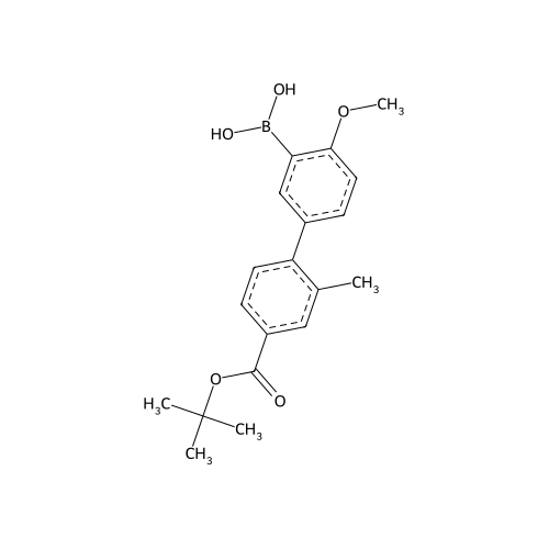 COc1ccc(-c2ccc(C(=O)OC(C)(C)C)cc2C)cc1B(O)O